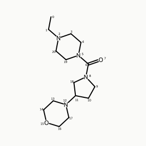 CCN1CCN(C(=O)N2CCC(N3CCOCC3)C2)CC1